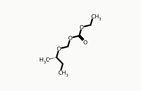 CCOC(=O)OCO[C@@H](C)CC